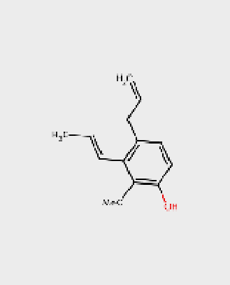 C=CCc1ccc(O)c(OC)c1C=CC